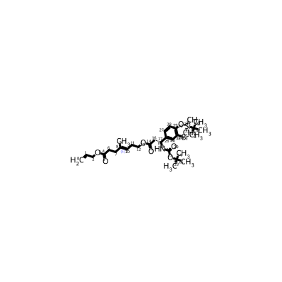 C=CCOC(=O)CC/C(C)=C/CCOC(=O)C[C@@H](NC(=O)OC(C)(C)C)c1ccc(O[Si](C)(C)C(C)(C)C)c(Br)c1